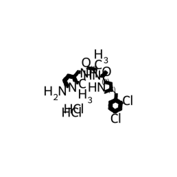 Cc1nc(N)ccc1CNC(=O)[C@H](C)NC(=O)[C@H]1C[C@H](Cc2ccc(Cl)cc2Cl)CN1.Cl.Cl